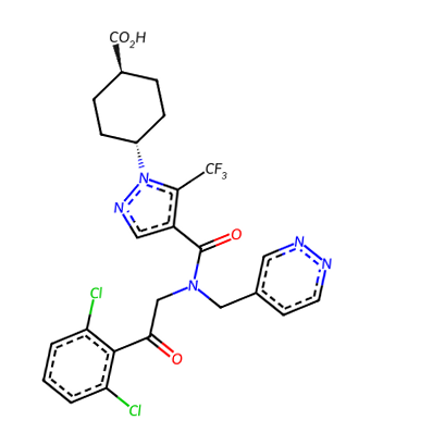 O=C(CN(Cc1ccnnc1)C(=O)c1cnn([C@H]2CC[C@H](C(=O)O)CC2)c1C(F)(F)F)c1c(Cl)cccc1Cl